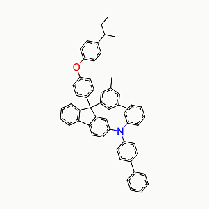 CCC(C)c1ccc(Oc2ccc(C3(c4cc(C)cc(C)c4)c4ccccc4-c4ccc(N(c5ccccc5)c5ccc(-c6ccccc6)cc5)cc43)cc2)cc1